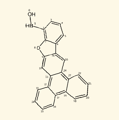 OBc1cccc2c1oc1cc3c4ccccc4c4ccccc4c3cc12